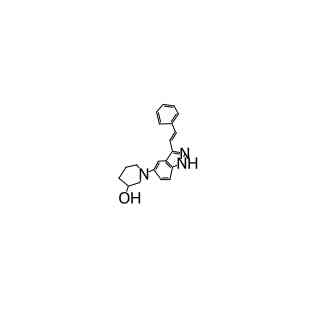 OC1CCCN(c2ccc3[nH]nc(C=Cc4ccccc4)c3c2)C1